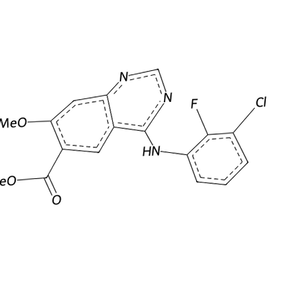 COC(=O)c1cc2c(Nc3cccc(Cl)c3F)ncnc2cc1OC